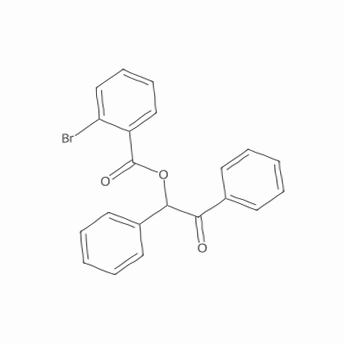 O=C(OC(C(=O)c1ccccc1)c1ccccc1)c1ccccc1Br